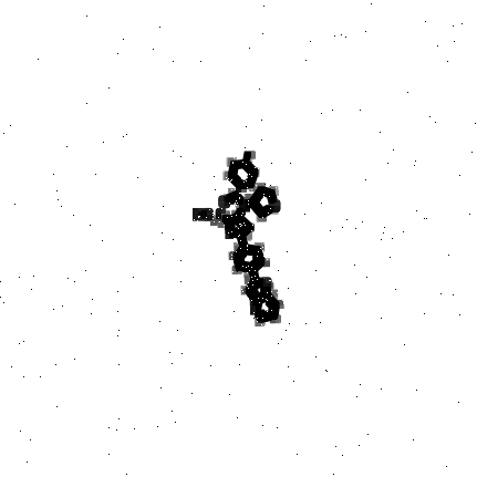 C[C@H]1CC[C@H](C(=O)N(c2cc(-c3ccc(-c4cc5ncccc5o4)cc3)sc2C(=O)O)C2CCOC2)CC1